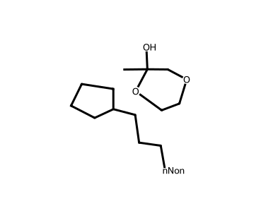 CC1(O)COCCO1.CCCCCCCCCCCCC1CCCC1